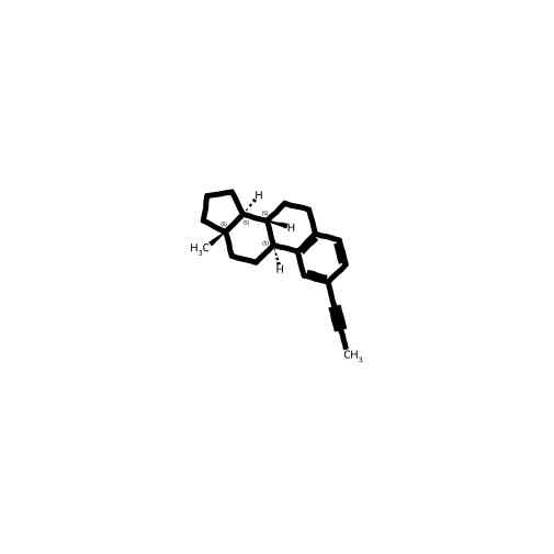 CC#Cc1ccc2c(c1)[C@H]1CC[C@]3(C)CCC[C@H]3[C@@H]1CC2